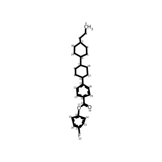 CCCC1CCC(C2CCC(c3ccc(C(=O)Oc4ccc(F)cc4)cc3)CC2)CC1